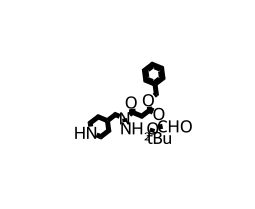 CC(C)(C)OC=O.NN(CC1CCNCC1)C(=O)CC(=O)OCc1ccccc1